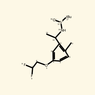 Cc1ccc(OCC(F)F)cc1C(C)N[S+]([O-])C(C)(C)C